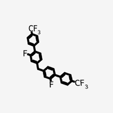 Fc1cc(Cc2ccc(-c3ccc(C(F)(F)F)cc3)c(F)c2)ccc1-c1ccc(C(F)(F)F)cc1